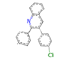 Clc1ccc(-c2cc3ccccc3nc2-c2cc[c]cc2)cc1